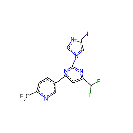 FC(F)c1cc(-c2ccc(C(F)(F)F)nc2)nc(-n2cnc(I)c2)n1